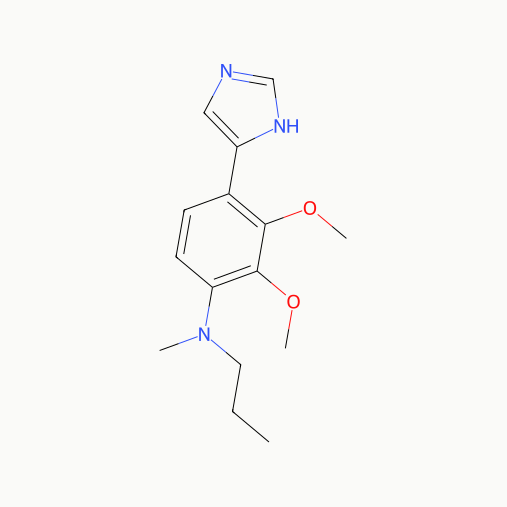 CCCN(C)c1ccc(-c2cnc[nH]2)c(OC)c1OC